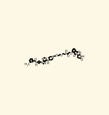 Cc1cccc(C(=O)NC2CC(n3cnc4c(NC5CCN(CCOCCOCCNC(=O)COc6cccc7c6C(=O)N([C@H]6CCC(=O)NC6=O)C7=O)CC5)ncnc43)C2)n1